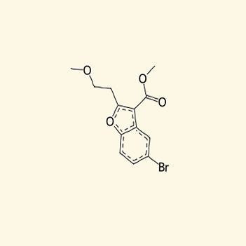 COCCc1oc2ccc(Br)cc2c1C(=O)OC